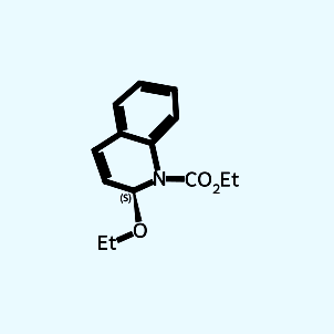 CCOC(=O)N1c2ccccc2C=C[C@@H]1OCC